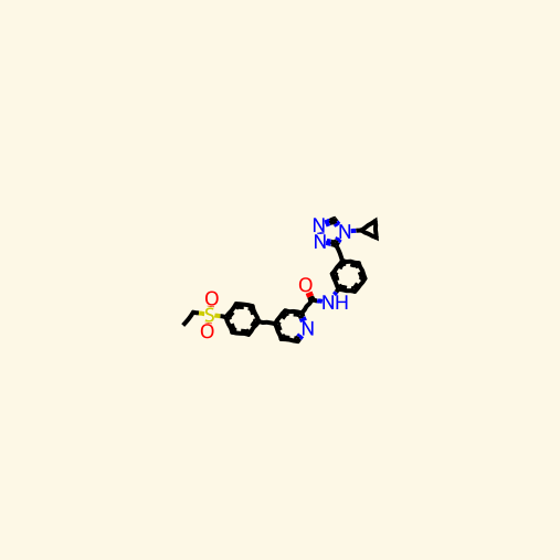 CCS(=O)(=O)c1ccc(-c2ccnc(C(=O)Nc3cccc(-c4nncn4C4CC4)c3)c2)cc1